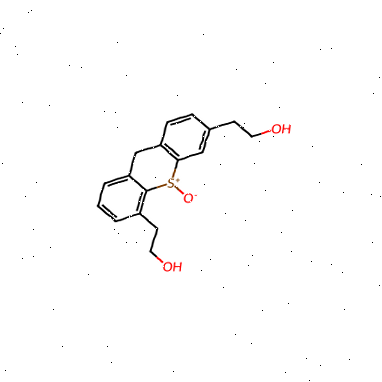 [O-][S+]1c2cc(CCO)ccc2Cc2cccc(CCO)c21